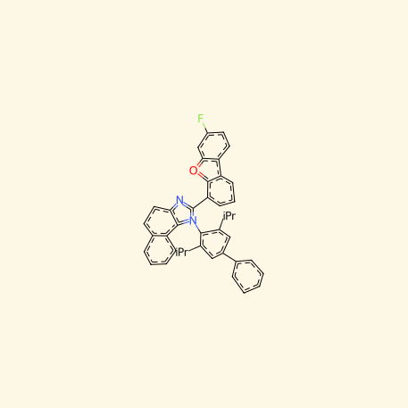 CC(C)c1cc(-c2ccccc2)cc(C(C)C)c1-n1c(-c2cccc3c2oc2cc(F)ccc23)nc2ccc3ccccc3c21